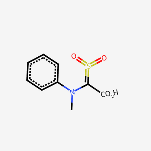 CN(C(C(=O)O)=S(=O)=O)c1ccccc1